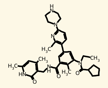 CCN(C(=O)C1CCCC1)c1cc(-c2ccc(N3CCNCC3)nc2C)cc(C(=O)NCc2c(C)cc(C)[nH]c2=O)c1C